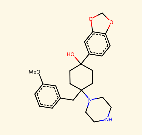 COc1cccc(CC2(N3CCNCC3)CCC(O)(c3ccc4c(c3)OCO4)CC2)c1